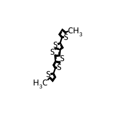 Cc1ccc(-c2cc3c(s2)sc2c4cc(-c5ccc(C)s5)sc4sc32)s1